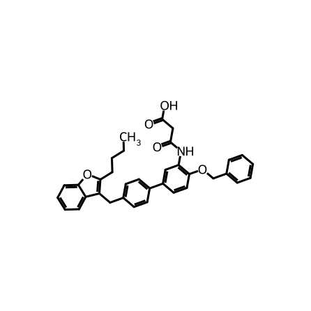 CCCCc1oc2ccccc2c1Cc1ccc(-c2ccc(OCc3ccccc3)c(NC(=O)CC(=O)O)c2)cc1